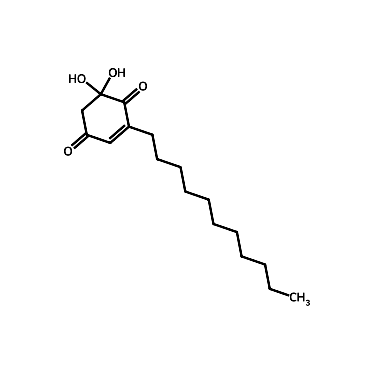 CCCCCCCCCCCC1=CC(=O)CC(O)(O)C1=O